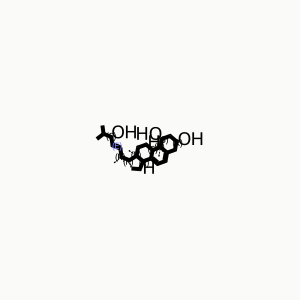 CC(C)[C@H](O)/C=C/[C@@H](C)[C@H]1CC[C@H]2C3=CC=C4C[C@@H](O)C[C@H](O)[C@]4(C)[C@H]3CC[C@]12C